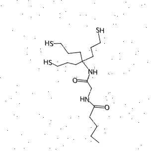 CCCCC(=O)NCC(=O)NC(CCCS)(CCCS)CCCS